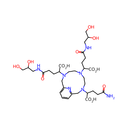 NC(=O)CCC(C(=O)O)N1CCN(C(CCC(=O)NCC(O)CO)C(=O)O)CCN(C(CCC(=O)NCC(O)CO)C(=O)O)Cc2cccc(n2)C1